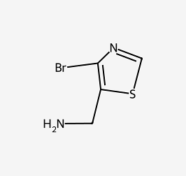 NCc1scnc1Br